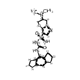 CN(C)C1COc2c([S@](=N)(=O)NC(=O)Nc3c4c(cc5c3CCC5)CCC4)cnn2C1